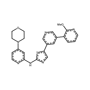 COc1ncccc1-c1cncc(-c2cnc(Nc3cc(N4CCOCC4)ccn3)s2)c1